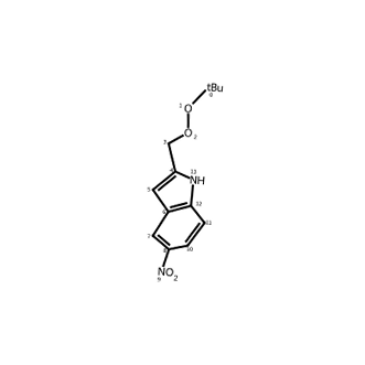 CC(C)(C)OOCc1cc2cc([N+](=O)[O-])ccc2[nH]1